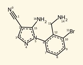 N#Cc1cnn(-c2cccc(Br)c2CN)c1N